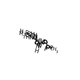 COc1cc(F)cc(-c2cccc3[nH]c(-c4n[nH]c5ccc(-c6cncc(NC(O)CC(C)(C)C)c6)cc45)cc23)c1